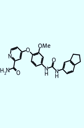 COc1cc(NC(=O)Nc2ccc3c(c2)CCC3)ccc1Oc1ccnc(C(N)=O)c1